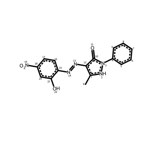 Cc1[nH]n(-c2ccccc2)c(=O)c1/N=N/c1ccc([N+](=O)[O-])cc1O